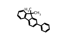 CC1(C)c2[c]cccc2-c2ccc(-c3ccccc3)cc21